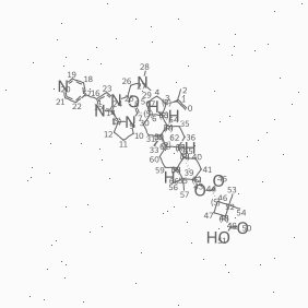 C=C(C)[C@@H]1CC[C@]2(C(=O)N3CCC[C@H]3c3nc(-c4ccncc4)cn3CCN(C)C)CC[C@]3(C)[C@H](CC[C@@H]4[C@@]5(C)CC[C@H](OC(=O)[C@H]6C[C@@H](C(=O)O)C6(C)C)C(C)(C)[C@@H]5CC[C@]43C)[C@@H]12